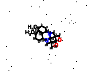 C[C@@H]1CC[C@@H](N2CC3(COC3)C2)C2=C1[C@@H](C)CC[C@H]2N1CC2(COC2)C1